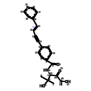 CC(C)(O)[C@H](NC(=O)c1ccc(C#C/C=C/c2ccncc2)cc1)C(=O)NO